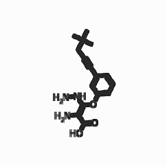 CC(C)(C)CC#Cc1cccc(O/C(NN)=C(/N)C(=O)O)c1